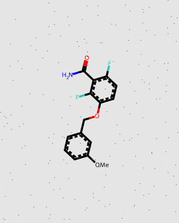 COc1cccc(COc2ccc(F)c(C(N)=O)c2F)c1